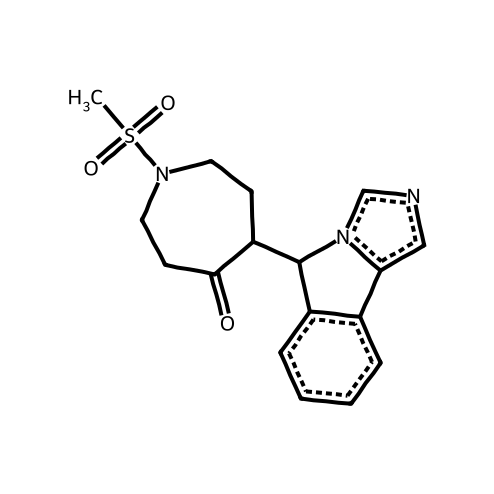 CS(=O)(=O)N1CCC(=O)C(C2c3ccccc3-c3cncn32)CC1